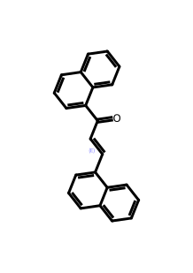 O=C(/C=C/c1cccc2ccccc12)c1cccc2ccccc12